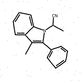 Cc1c(-c2ccccc2)n(C(C)C#N)c2ccccc12